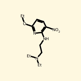 CCOc1ccc([N+](=O)[O-])c(NCCN(CC)CC)n1